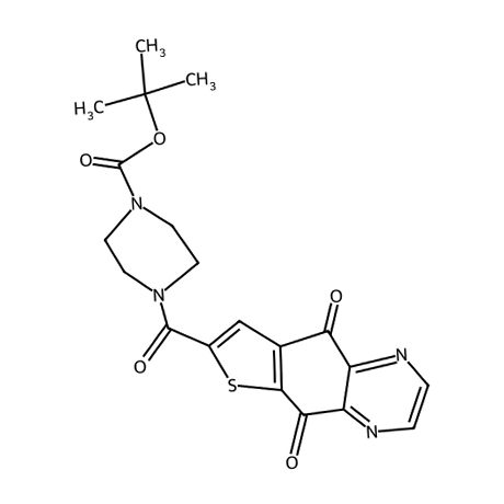 CC(C)(C)OC(=O)N1CCN(C(=O)c2cc3c(s2)C(=O)c2nccnc2C3=O)CC1